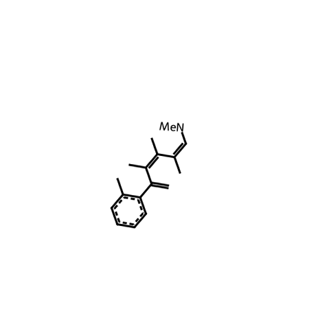 C=C(/C(C)=C(C)\C(C)=C/NC)c1ccccc1C